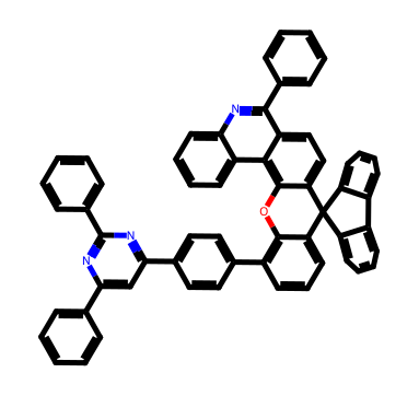 c1ccc(-c2cc(-c3ccc(-c4cccc5c4Oc4c(ccc6c(-c7ccccc7)nc7ccccc7c46)C54c5ccccc5-c5ccccc54)cc3)nc(-c3ccccc3)n2)cc1